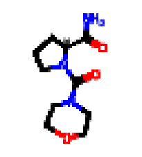 NC(=O)[C@@H]1[CH]CCN1C(=O)N1CCOCC1